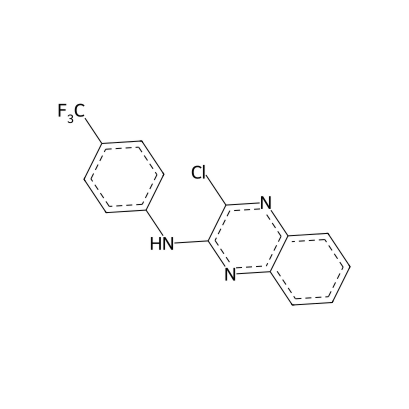 FC(F)(F)c1ccc(Nc2nc3ccccc3nc2Cl)cc1